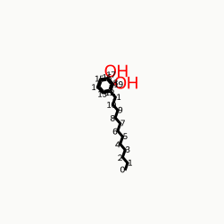 CCCCCCCCCCCCc1cccc(O)c1O